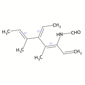 C=C/C(NC=O)=C(C)/C(=C\C)C(/C)=C/C